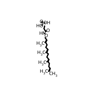 CC(C)=CCC/C(C)=C/CC/C(C)=C/CC/C(C)=C/CONC(=O)CCP(=O)(O)O